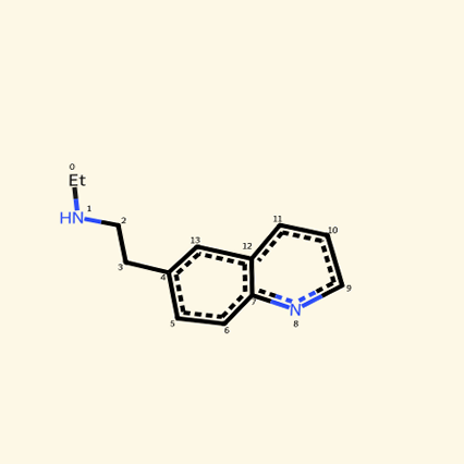 CCNCCc1ccc2ncccc2c1